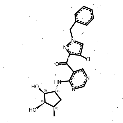 [CH2][C@@H]1C[C@@H](Nc2ncncc2C(=O)c2nn(Cc3ccccc3)cc2Cl)[C@H](O)[C@@H]1O